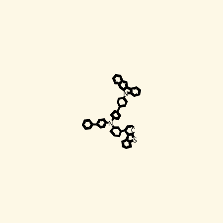 C1=CC(N(c2ccc(C3=CC=C(n4c5ccccc5c5cc6ccccc6cc54)CC3)cc2)c2ccc(-c3ccccc3)cc2)=CC(c2cccc3sc4ccccc4c23)C1